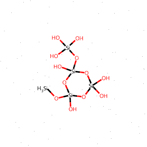 O[Si](O)(O)O[Si]1(O)O[Si](O)(O)O[Si](O)(O[SiH3])O1